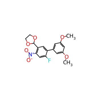 COc1cc(OC)cc(-c2cc(C3OCCO3)c([N+](=O)[O-])cc2F)c1